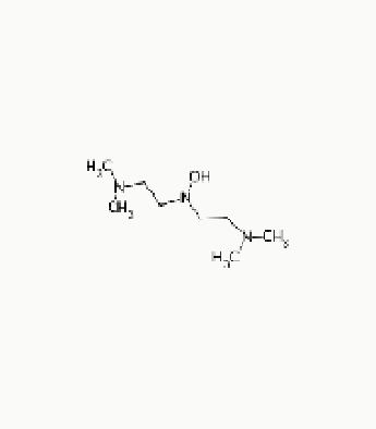 CN(C)CCN(O)CCN(C)C